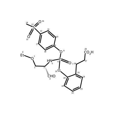 CCOC[C@@H](C=O)NP(=O)(Oc1ccc(S(C)(=O)=O)cc1)Oc1ccccc1CCC(=O)O